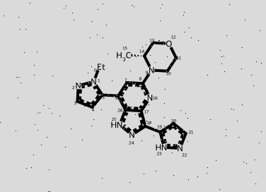 CCn1nccc1-c1cc(N2CCOC[C@H]2C)nc2c(-c3ccn[nH]3)n[nH]c12